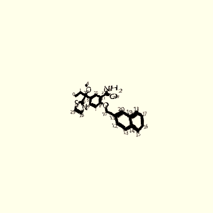 CCC(OC)(c1ccc(OCc2ccc3ccccc3c2)c(C(N)=O)c1)c1nccs1